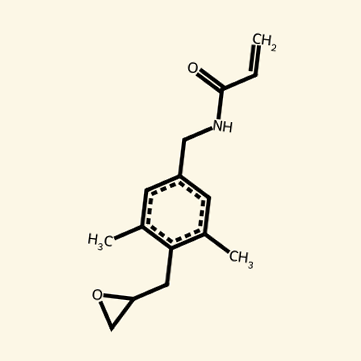 C=CC(=O)NCc1cc(C)c(CC2CO2)c(C)c1